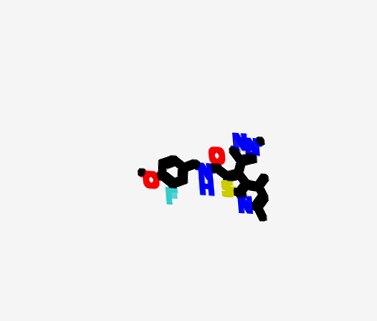 COc1ccc(CNC(=O)c2sc3nc(C)cc(C)c3c2-c2cnn(C)c2)cc1F